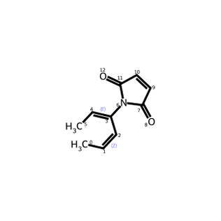 C/C=C\C(=C/C)N1C(=O)C=CC1=O